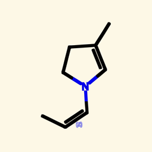 C/C=C\N1C=C(C)CC1